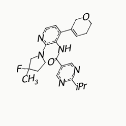 CC(C)c1ncc(C(=O)Nc2c(C3=CCCOC3)ccnc2N2CCC(C)(F)C2)cn1